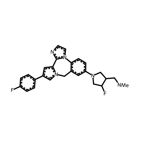 CNCC1CN(c2ccc3c(c2)Cn2cc(-c4ccc(F)cc4)cc2-c2nccn2-3)CC1F